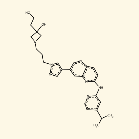 CC(C)c1cnnc(Nc2ccc3ncc(-c4cnn(CCCN5CC(O)(CCO)C5)c4)cc3n2)c1